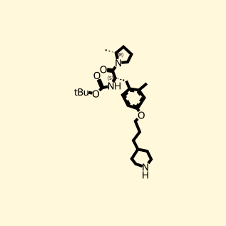 Cc1cc(OCCCC2CCNCC2)ccc1C[C@H](NC(=O)OC(C)(C)C)C(=O)N1CCC[C@H]1C